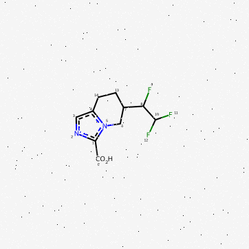 O=C(O)c1ncc2n1CC(C(F)C(F)F)CC2